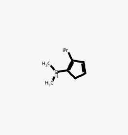 CC(C)C1=C([SiH](C)C)CC=C1